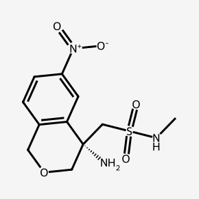 CNS(=O)(=O)C[C@@]1(N)COCc2ccc([N+](=O)[O-])cc21